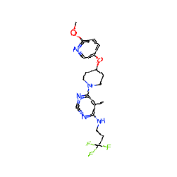 COc1ccc(OC2CCN(c3ncnc(NCCC(F)(F)F)c3C)CC2)cn1